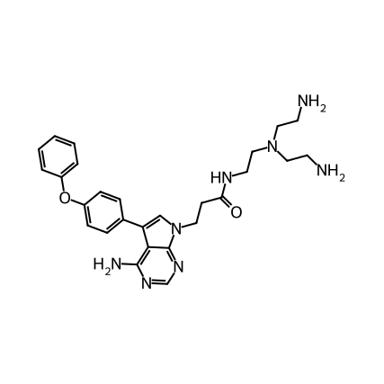 NCCN(CCN)CCNC(=O)CCn1cc(-c2ccc(Oc3ccccc3)cc2)c2c(N)ncnc21